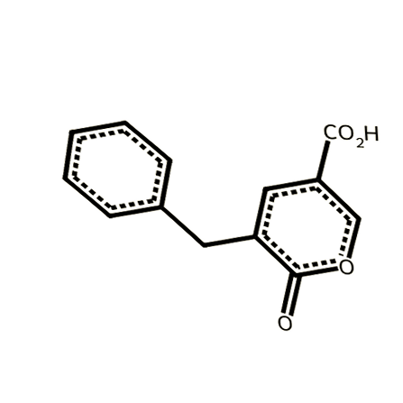 O=C(O)c1coc(=O)c(Cc2ccccc2)c1